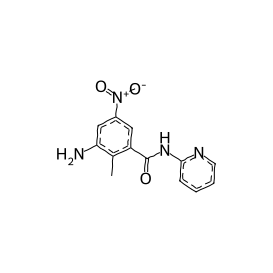 Cc1c(N)cc([N+](=O)[O-])cc1C(=O)Nc1ccccn1